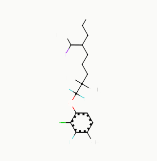 CCCC(CCCC(C)(C)C(F)(F)Oc1ccc(C)c(F)c1Cl)C(C)I